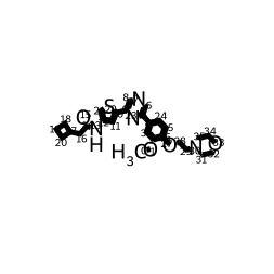 COc1cc(-c2cncc(-c3cc(NC(=O)CC4CCC4)cs3)n2)ccc1OCCN1CCOCC1